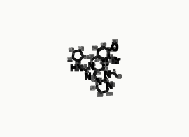 CCN1C(=O)c2c(nc(NC3CCCC3)n2Cc2ccc(OC)c(Br)c2)N2CCCN=C12